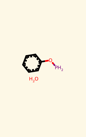 O.POc1ccccc1